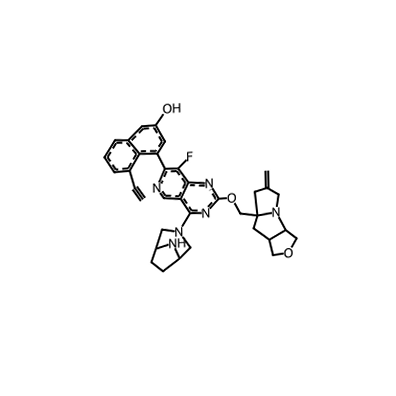 C#Cc1cccc2cc(O)cc(-c3ncc4c(N5CC6CCC(C5)N6)nc(OCC56CC(=C)CN5C5COCC5C6)nc4c3F)c12